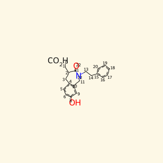 O=C(O)CC1Cc2ccc(O)cc2CN(CCc2ccccc2)C1=O